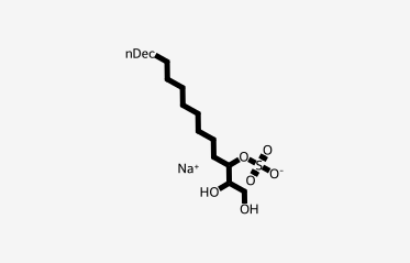 CCCCCCCCCCCCCCCCCCC(OS(=O)(=O)[O-])C(O)CO.[Na+]